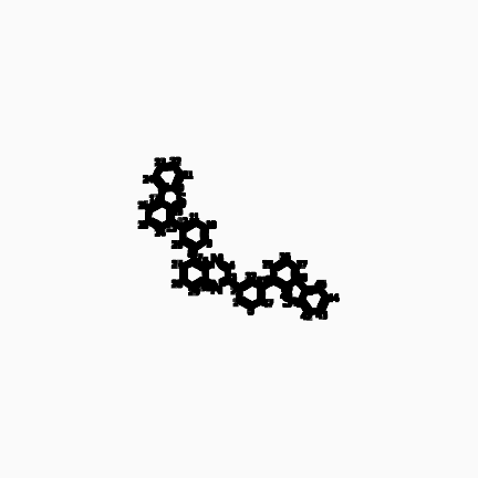 c1cc(-c2cnc3c(-c4cccc(-c5cccc6c5sc5ccccc56)c4)cccc3n2)cc(-c2cccc3c2sc2ccccc23)c1